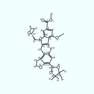 COC(=O)c1cc(OC)c2nc(Cc3c(F)cc(B4OC(C)(C)C(C)(C)O4)c4c3CCO4)n(C[C@@H]3CCO3)c2c1